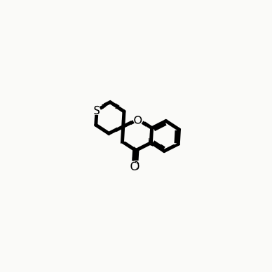 O=C1CC2(CCSCC2)Oc2ccccc21